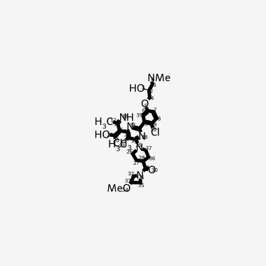 CNC[C@@H](O)COc1ccc(Cl)c(-c2nc(/C(C(C)=N)=C(\C)O)c(C)c(N3CCC(C(=O)N4CC(OC)C4)CC3)n2)c1